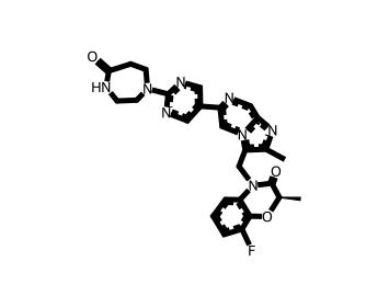 Cc1nc2cnc(-c3cnc(N4CCNC(=O)CC4)nc3)cn2c1CN1C(=O)[C@@H](C)Oc2c(F)cccc21